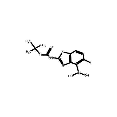 CC(C)(C)OC(=O)Nc1nc2c(B(O)O)c(F)ccc2s1